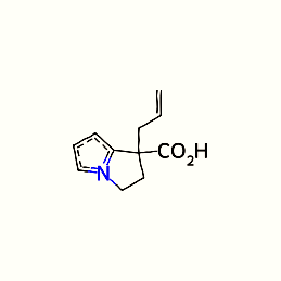 C=CCC1(C(=O)O)CCn2cccc21